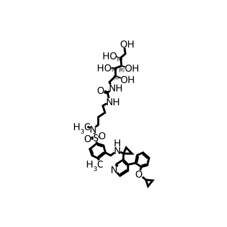 Cc1ccc(S(=O)(=O)N(C)CCCCNC(=O)NC[C@H](O)[C@@H](O)[C@H](O)[C@H](O)CO)cc1CNC1(c2cnccc2-c2ccccc2OC2CC2)CC1